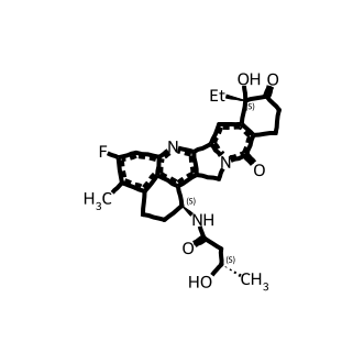 CC[C@@]1(O)C(=O)CCc2c1cc1n(c2=O)Cc2c-1nc1cc(F)c(C)c3c1c2[C@@H](NC(=O)C[C@H](C)O)CC3